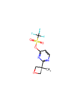 CC1(c2nccc(OS(=O)(=O)C(F)(F)F)n2)COC1